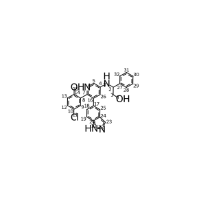 OCC(Nc1cnc(-c2cc(Cl)ccc2O)c(-c2ccc3[nH]ncc3c2)c1)c1ccccc1